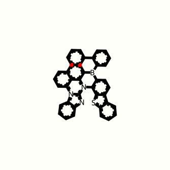 c1ccc(-c2ccccc2B2c3ccc4c(sc5ccccc54)c3-n3c4c2ccc2cccc(c24)n2c4ccccc4nc32)cc1